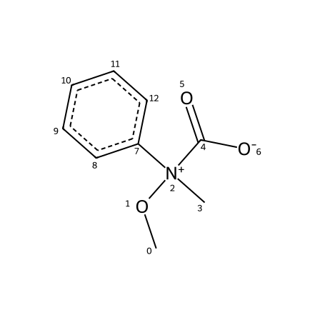 CO[N+](C)(C(=O)[O-])c1ccccc1